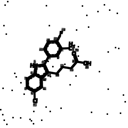 Cc1cc(-c2[nH]c3ccc(Cl)cc3c2CCCC(=O)O)ccc1F